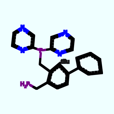 CC(C)(C)c1c(-c2ccccc2)ccc(CP)c1CP(c1cnccn1)c1cnccn1